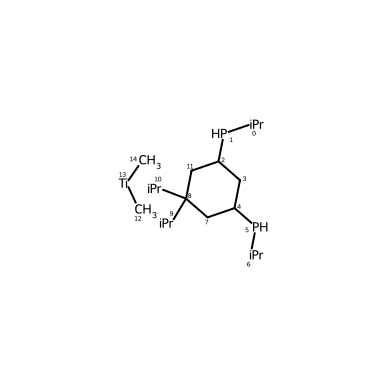 CC(C)PC1CC(PC(C)C)CC(C(C)C)(C(C)C)C1.[CH3][Ti][CH3]